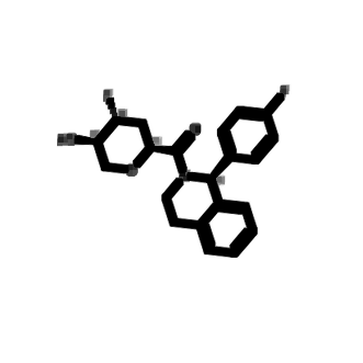 O=C([C@@H]1C[C@@H](F)[C@H](O)CO1)N1CCc2ccccc2[C@@H]1c1ccc(F)cc1